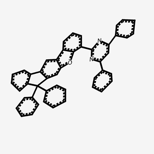 c1ccc(-c2cc(-c3ccccc3)nc(-c3cccc4c3oc3cc5c(cc34)-c3ccccc3C5(c3ccccc3)c3ccccc3)n2)cc1